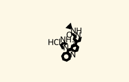 Cl.NC1CCN(c2c3c(nc4ccc(-c5ccnc(C(=O)NC6CC6)c5)cc24)CCCCC3)C1